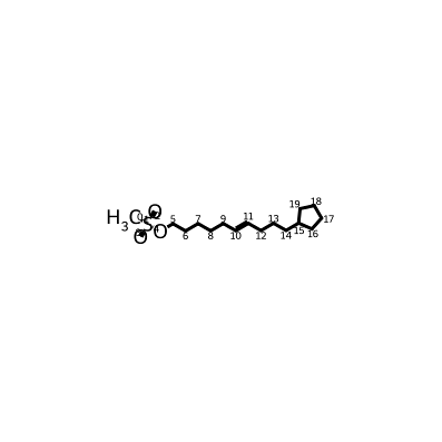 CS(=O)(=O)OCCCCCC=CCCCC1CCCC1